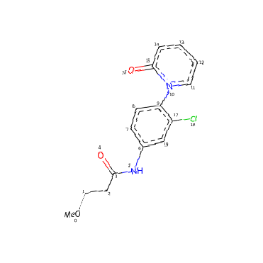 COCCC(=O)Nc1ccc(-n2ccccc2=O)c(Cl)c1